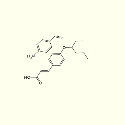 C=Cc1ccc(N)cc1.CCCC(CC)Oc1ccc(C=CC(=O)O)cc1